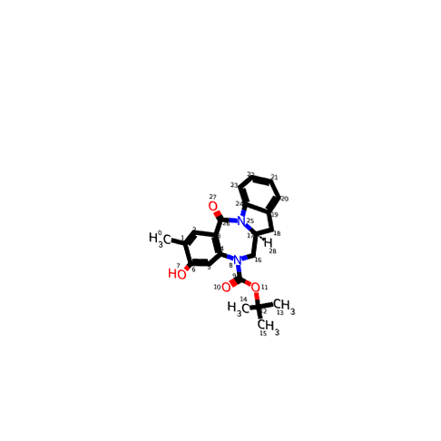 Cc1cc2c(cc1O)N(C(=O)OC(C)(C)C)C[C@@H]1Cc3ccccc3N1C2=O